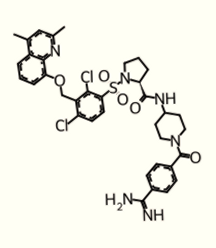 Cc1cc(C)c2cccc(OCc3c(Cl)ccc(S(=O)(=O)N4CCC[C@H]4C(=O)NC4CCN(C(=O)c5ccc(C(=N)N)cc5)CC4)c3Cl)c2n1